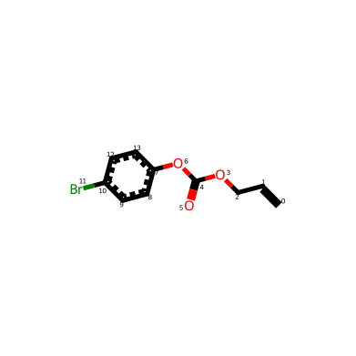 C=CCOC(=O)Oc1ccc(Br)cc1